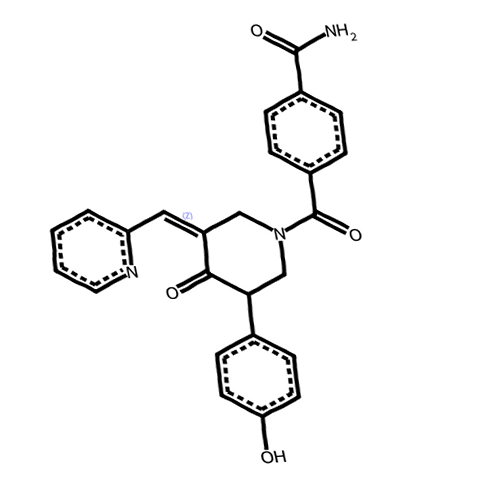 NC(=O)c1ccc(C(=O)N2C/C(=C/c3ccccn3)C(=O)C(c3ccc(O)cc3)C2)cc1